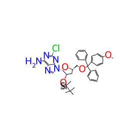 COc1ccc(C(OC[C@H]2C[C@@H](O[Si](C)(C)C(C)(C)C)[C@H](n3cnc4c(N)nc(Cl)nc43)O2)(c2ccccc2)c2ccccc2)cc1